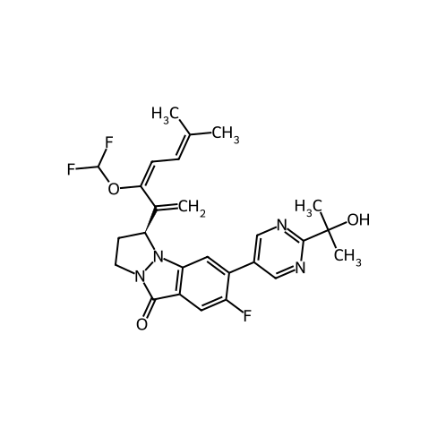 C=C(/C(=C\C=C(C)C)OC(F)F)[C@@H]1CCn2c(=O)c3cc(F)c(-c4cnc(C(C)(C)O)nc4)cc3n21